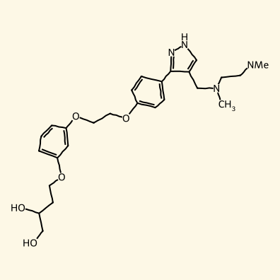 CNCCN(C)Cc1c[nH]nc1-c1ccc(OCCOc2cccc(OCCC(O)CO)c2)cc1